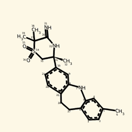 Cc1ccc2c(c1)Nc1cc([C@]3(C)CS(=O)(=O)C(C)(C)C(=N)N3)ccc1CC2